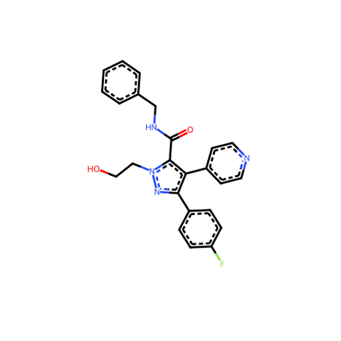 O=C(NCc1ccccc1)c1c(-c2ccncc2)c(-c2ccc(F)cc2)nn1CCO